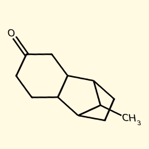 CC1C2CCC1C1CC(=O)CCC21